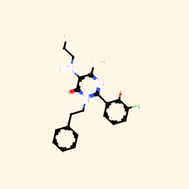 CCCNc1c(C)nc(-c2cccc(F)c2O)n(CCc2ccccc2)c1=O